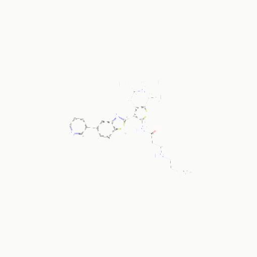 COCCNCCC(=O)Nc1sc2c(c1-c1nc3cc(-c4cccnc4)ccc3s1)CC(C)N(C(=O)O)C2C